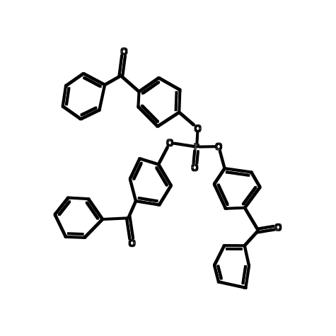 O=C(c1ccccc1)c1ccc(OP(=O)(Oc2ccc(C(=O)c3ccccc3)cc2)Oc2ccc(C(=O)c3ccccc3)cc2)cc1